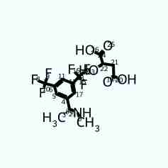 CN[C@H](C)c1cc(C(F)(F)F)cc(C(F)(F)F)c1.O=C(O)CC(O)C(=O)O